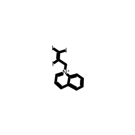 IC(I)=C(I)C[n+]1cccc2ccccc21